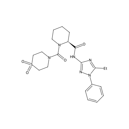 CCc1nc(NC(=O)[C@@H]2CCCCN2C(=O)N2CCS(=O)(=O)CC2)nn1-c1ccccc1